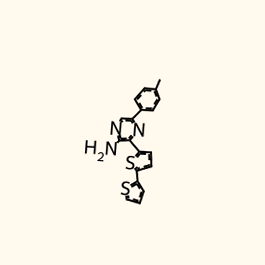 Cc1ccc(-c2cnc(N)c(-c3ccc(-c4cccs4)s3)n2)cc1